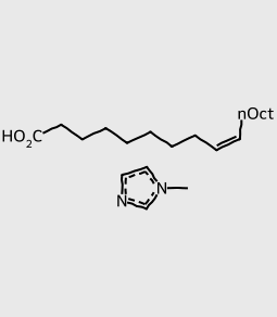 CCCCCCCC/C=C\CCCCCCCC(=O)O.Cn1ccnc1